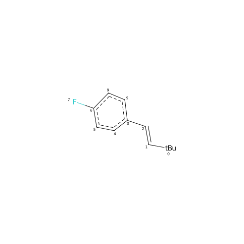 CC(C)(C)/C=C/c1ccc(F)cc1